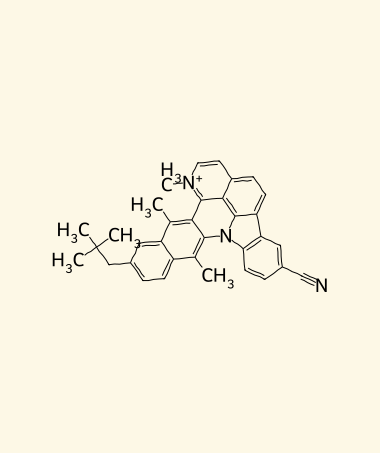 Cc1c2cc(CC(C)(C)C)ccc2c(C)c2c1c1c3c(ccc4c5cc(C#N)ccc5n2c43)cc[n+]1C